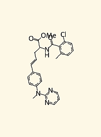 COC(=O)C(CC=Cc1ccc(N(C)c2ncccn2)cc1)NC(=O)c1c(C)cccc1Cl